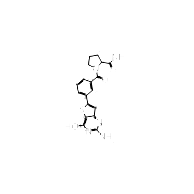 NC(=O)C1CCCN1C(=O)c1cccc(-c2cc3nc(N)nc(O)c3s2)c1